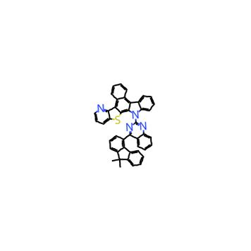 CC1(C)c2ccccc2-c2c(-c3nc(-n4c5ccccc5c5c6ccccc6c6c7ncccc7sc6c54)nc4ccccc34)cccc21